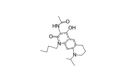 CCCCn1c(=O)c(NC(C)=O)c(O)c2cc3c(cc21)N(C(C)C)CCC3